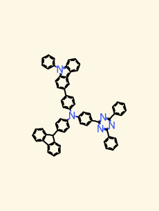 c1ccc(-c2nc(-c3ccccc3)nc(-c3ccc(N(c4ccc(-c5ccc6c(c5)c5ccccc5n6-c5ccccc5)cc4)c4ccc(C5c6ccccc6-c6ccccc65)cc4)cc3)n2)cc1